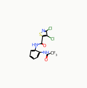 O=C(Nc1ccccc1NC(=O)C(F)(F)F)c1snc(Cl)c1Cl